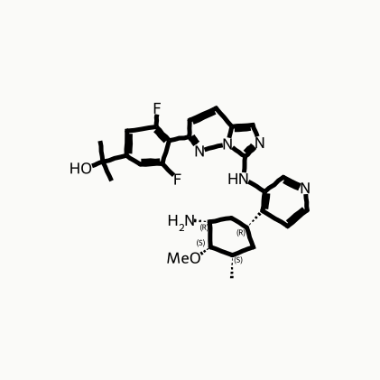 CO[C@@H]1[C@H](N)C[C@H](c2ccncc2Nc2ncc3ccc(-c4c(F)cc(C(C)(C)O)cc4F)nn23)C[C@@H]1C